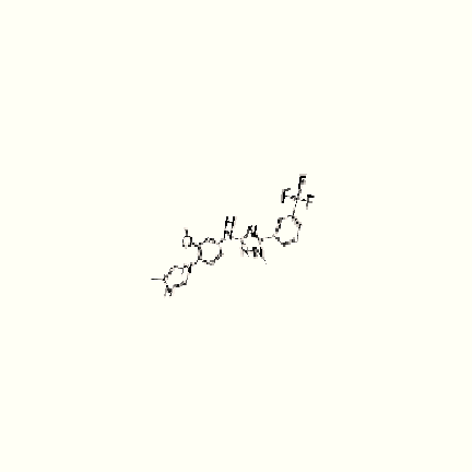 COc1cc(Nc2nc(-c3cccc(C(F)(F)F)c3)n(C)n2)ccc1-n1cnc(C)c1